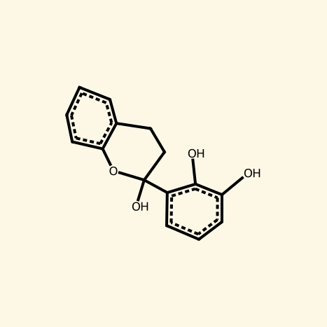 Oc1cccc(C2(O)CCc3ccccc3O2)c1O